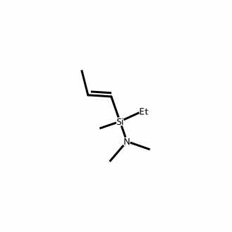 CC=C[Si](C)(CC)N(C)C